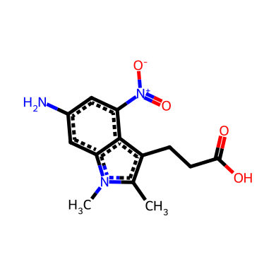 Cc1c(CCC(=O)O)c2c([N+](=O)[O-])cc(N)cc2n1C